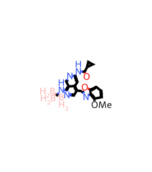 BC(B)(B)Nc1ncc(-c2nc3c(OC)cccc3o2)c2cc(NC(=O)C3CC3)ncc12